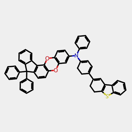 C1=C(C2=Cc3c(sc4ccccc34)CC2)CCC(N(c2ccccc2)c2ccc3c(c2)Oc2ccc4c(c2O3)-c2ccccc2C4(c2ccccc2)c2ccccc2)=C1